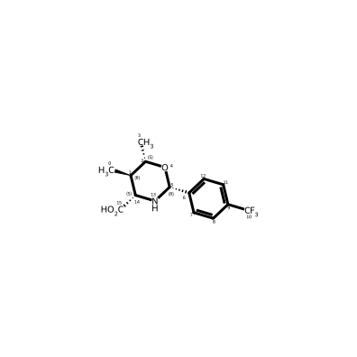 C[C@H]1[C@H](C)O[C@H](c2ccc(C(F)(F)F)cc2)N[C@@H]1C(=O)O